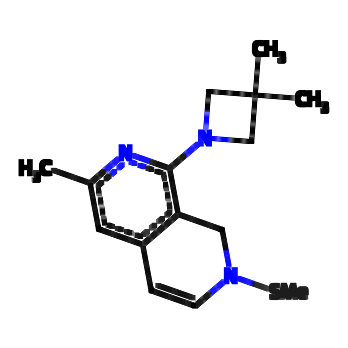 CSN1C=Cc2cc(C)nc(N3CC(C)(C)C3)c2C1